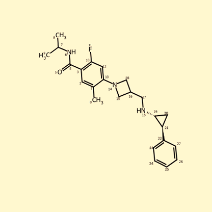 Cc1cc(C(=O)NC(C)C)c(F)cc1N1CC(CN[C@@H]2C[C@H]2c2ccccc2)C1